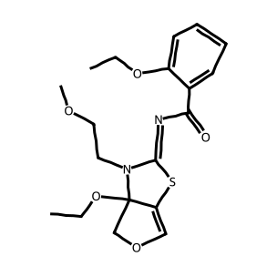 CCOc1ccccc1C(=O)N=C1SC2=COCC2(OCC)N1CCOC